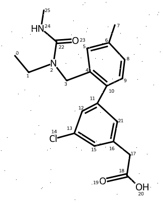 CCN(Cc1cc(C)ccc1-c1cc(Cl)cc(CC(=O)O)c1)C(=O)NC